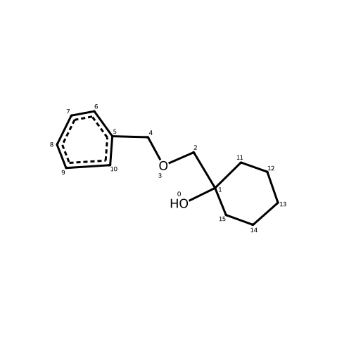 OC1(COCc2ccccc2)CCCCC1